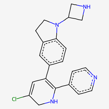 ClC1=CC(c2ccc3c(c2)CCN3C2CNC2)=C(c2ccncc2)NC1